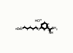 CCCCCCCCCCCCCCCOc1cccc(C(=N)N)c1.Cl